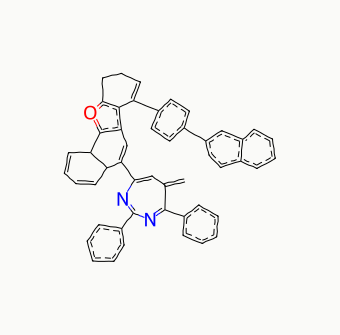 C=C1C=C(C2=Cc3c(oc4c3C(c3ccc(-c5ccc6ccccc6c5)cc3)=CCC4)C3C=CC=CC23)N=C(c2ccccc2)N=C1c1ccccc1